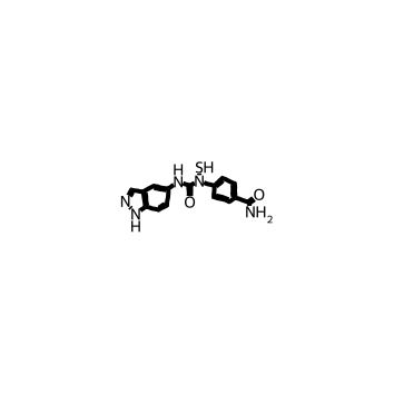 NC(=O)c1ccc(N(S)C(=O)Nc2ccc3[nH]ncc3c2)cc1